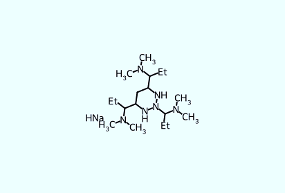 CCC(C1CC(C(CC)N(C)C)NN(C(CC)N(C)C)N1)N(C)C.[NaH]